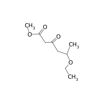 CCOC(C)CC(=O)CC(=O)OC